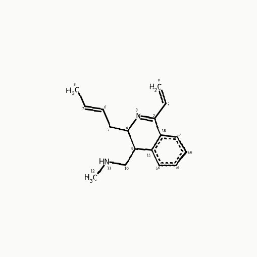 C=CC1=NC(C/C=C/C)C(CNC)c2ccccc21